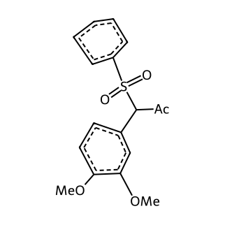 COc1ccc(C(C(C)=O)S(=O)(=O)c2ccccc2)cc1OC